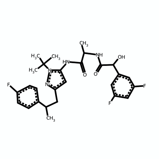 CC(NC(=O)C(O)c1cc(F)cc(F)c1)C(=O)Nc1cc(CC(C)c2ccc(F)cc2)nn1C(C)(C)C